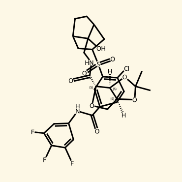 CC1(C)O[C@H]2[C@H](CO[C@@H]2C(=O)NCC2(O)C3CCC2CC(S(=O)(=O)c2cc(C(=O)Nc4cc(F)c(F)c(F)c4)ccc2Cl)C3)O1